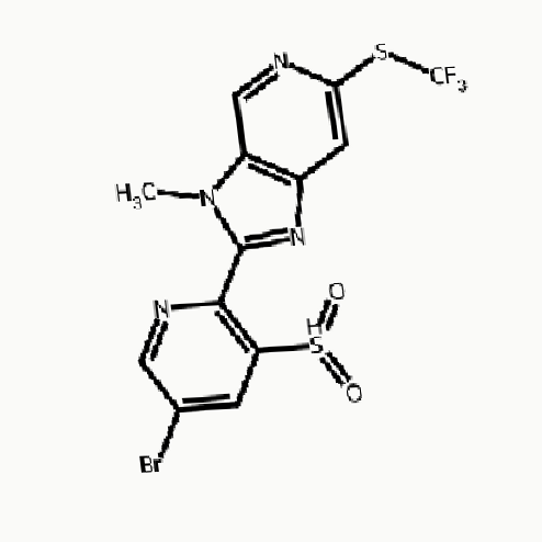 Cn1c(-c2ncc(Br)cc2[SH](=O)=O)nc2cc(SC(F)(F)F)ncc21